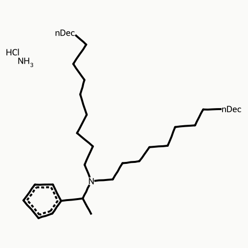 CCCCCCCCCCCCCCCCCCN(CCCCCCCCCCCCCCCCCC)C(C)c1ccccc1.Cl.N